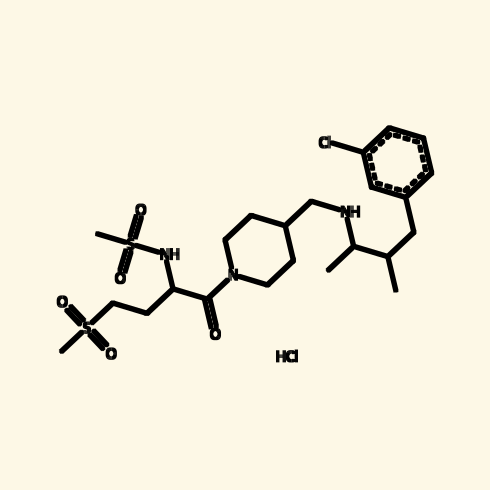 CC(Cc1cccc(Cl)c1)C(C)NCC1CCN(C(=O)C(CCS(C)(=O)=O)NS(C)(=O)=O)CC1.Cl